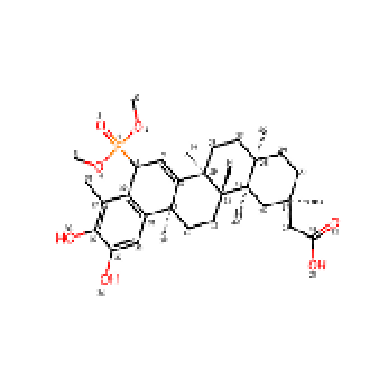 COP(=O)(OC)C1C=C2[C@@](C)(CC[C@@]3(C)[C@@H]4C[C@](C)(CC(=O)O)CC[C@]4(C)CC[C@]23C)c2cc(O)c(O)c(C)c21